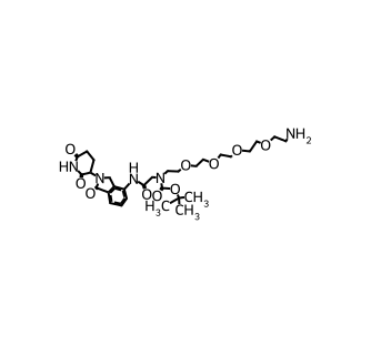 CC(C)(C)OC(=O)N(CCOCCOCCOCCOCCN)CC(=O)Nc1cccc2c1CN(C1CCC(=O)NC1=O)C2=O